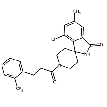 Cc1cc(Cl)c2c(c1)C(=O)NC21CCN(C(=O)CCc2ccccc2C(F)(F)F)CC1